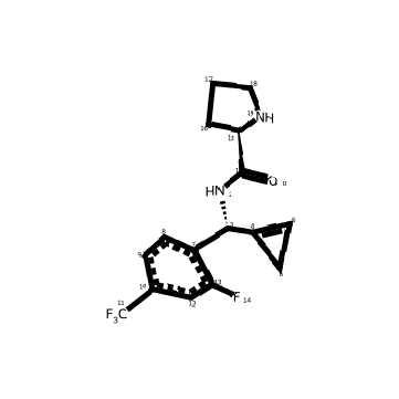 O=C(N[C@H](C1=CC1)c1ccc(C(F)(F)F)cc1F)[C@H]1CCCN1